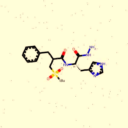 CC(C)(C)S(=O)(=O)CC(Cc1ccccc1)C(=O)N[C@@H](Cc1c[nH]cn1)C(=O)NN